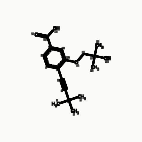 CC(C)(C)C#Cc1ccc(C(=O)O)cc1OCC(C)(C)O